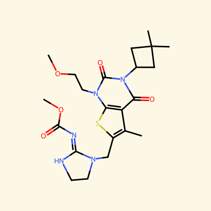 COCCn1c(=O)n(C2CC(C)(C)C2)c(=O)c2c(C)c(CN3CCNC3=NC(=O)OC)sc21